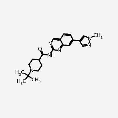 Cn1cc(-c2ccc3cnc(NC(=O)C4CCN(C(C)(C)C)CC4)nc3c2)cn1